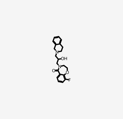 O=C1c2cccc(F)c2OCCN1CC(O)CN1CCc2ccccc2C1